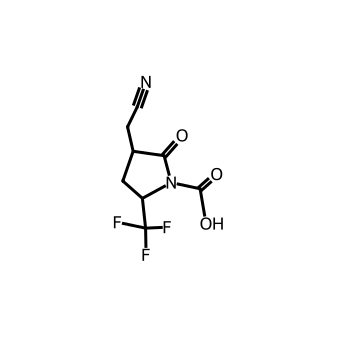 N#CCC1CC(C(F)(F)F)N(C(=O)O)C1=O